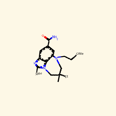 CCC1(C)CN(CCOC)c2cc(C(N)=O)cc3nc(NC)n(c23)C1